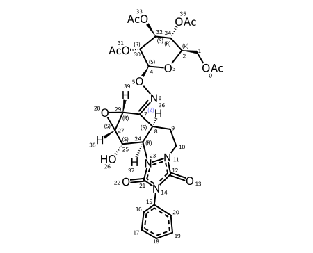 CC(=O)OC[C@H]1O[C@@H](O/N=C2/[C@H]3CCn4c(=O)n(-c5ccccc5)c(=O)n4[C@H]3[C@H](O)[C@@H]3O[C@H]23)[C@H](OC(C)=O)[C@@H](OC(C)=O)[C@@H]1OC(C)=O